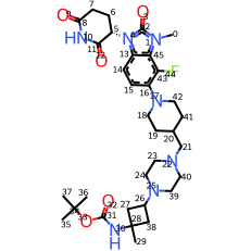 Cn1c(=O)n([C@H]2CCC(=O)NC2=O)c2ccc(N3CCC(CN4CCN(C5CC(C)(NC(=O)OC(C)(C)C)C5)CC4)CC3)c(F)c21